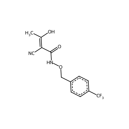 C/C(O)=C(\C#N)C(=O)NOCc1ccc(C(F)(F)F)cc1